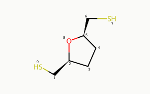 SC[C@@H]1CC[C@H](CS)O1